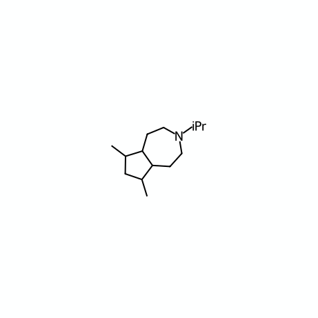 CC1CC(C)C2CCN(C(C)C)CCC12